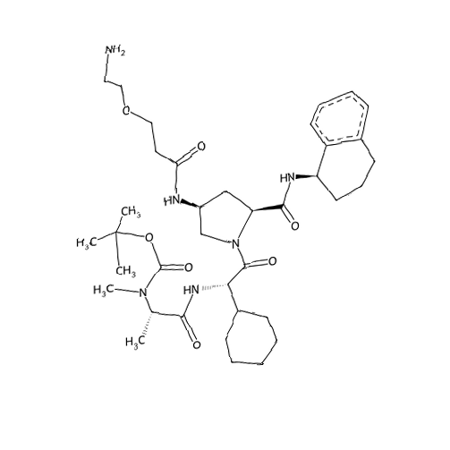 C[C@@H](C(=O)N[C@H](C(=O)N1C[C@@H](NC(=O)CCOCCN)C[C@H]1C(=O)N[C@@H]1CCCc2ccccc21)C1CCCCC1)N(C)C(=O)OC(C)(C)C